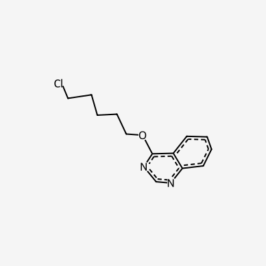 ClCCCCCOc1ncnc2ccccc12